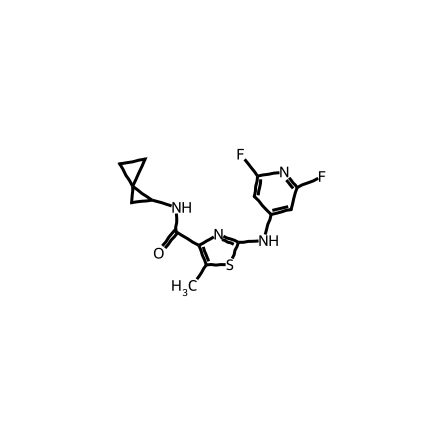 Cc1sc(Nc2cc(F)nc(F)c2)nc1C(=O)NC1CC12CC2